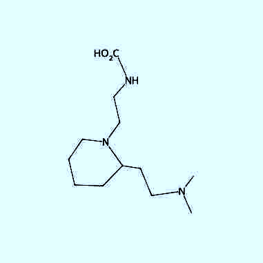 CN(C)CCC1CCCCN1CCNC(=O)O